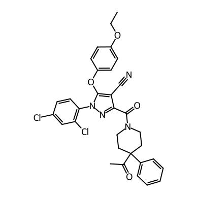 CCOc1ccc(Oc2c(C#N)c(C(=O)N3CCC(C(C)=O)(c4ccccc4)CC3)nn2-c2ccc(Cl)cc2Cl)cc1